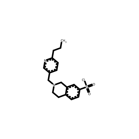 CCCc1ccc(CN2CCc3ccc(S(=O)(=O)Cl)cc3C2)cn1